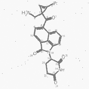 CC(C)C1=CC1(CN)C(=O)c1ccc2c3c(cccc13)N(C1CCC(=O)NC1=O)C2=O